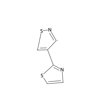 [c]1nscc1-c1nccs1